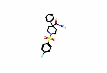 NC(=O)C1(c2ccccc2)CCN(S(=O)(=O)c2ccc(F)cc2)CC1